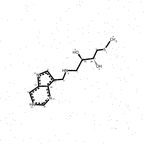 CSC[C@H](O)[C@H](O)CNCc1cnc2c[nH]cnc1-2